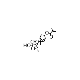 C=C(C)C(=O)OC1CC2CC1CC2(C)OC(C)C(O)(C(F)(F)F)C(F)(F)F